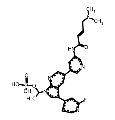 CC(OP(=O)(O)O)n1cc(-c2ccnc(F)c2)c2cc(-c3cncc(NC(=O)C=CCN(C)C)c3)cnc21